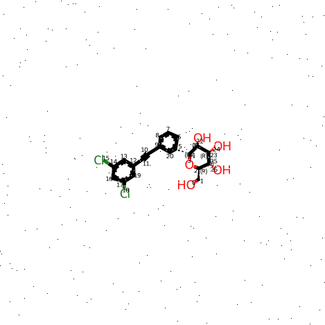 OC[C@H]1O[C@H](c2cccc(C#Cc3cc(Cl)cc(Cl)c3)c2)[C@@H](O)[C@@H](O)[C@@H]1O